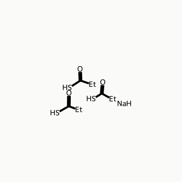 CCC(=O)S.CCC(=O)S.CCC(=O)S.[NaH]